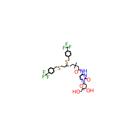 CC(C)(CC[C@H](CCSCc1ccc(C(F)(F)F)cc1)SCc1ccc(C(F)(F)F)cc1)CC(=O)Nc1ccn([C@H]2CC(O)[C@@H](CO)O2)c(=O)n1